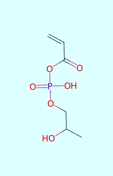 C=CC(=O)OP(=O)(O)OCC(C)O